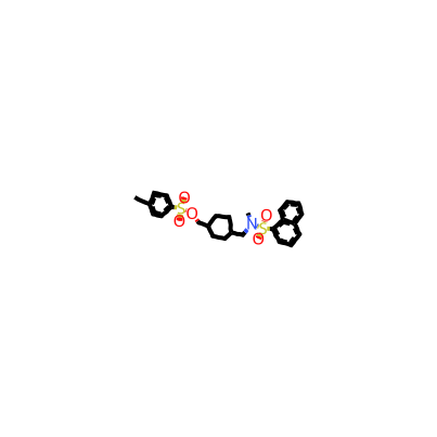 Cc1ccc(S(=O)(=O)OCC2CCC(CN(C)S(=O)(=O)c3cccc4ccccc34)CC2)cc1